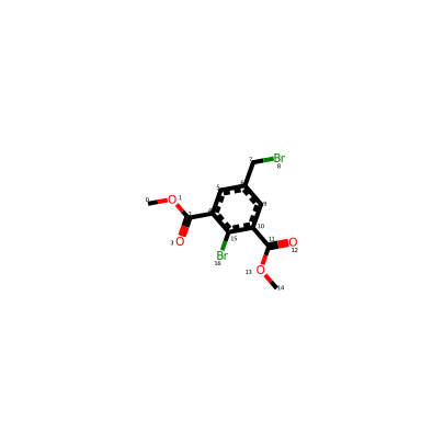 COC(=O)c1cc(CBr)cc(C(=O)OC)c1Br